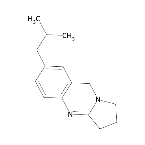 CC(C)Cc1ccc2c(c1)CN1CCCC1=N2